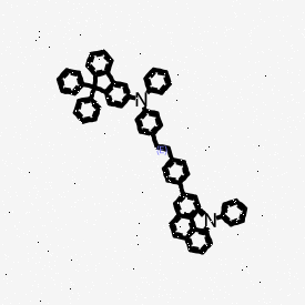 C(=C\c1ccc(N(c2ccccc2)c2ccc3c(c2)-c2ccccc2C3(c2ccccc2)c2ccccc2)cc1)/c1ccc(-c2cc3ccc4cccc5c4c3c(c2)n5-c2ccccc2)cc1